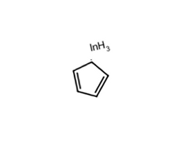 [CH]1C=CC=C1.[InH3]